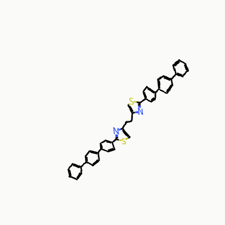 c1ccc(-c2ccc(-c3ccc(-c4nc(CCc5csc(-c6ccc(-c7ccc(-c8ccccc8)cc7)cc6)n5)cs4)cc3)cc2)cc1